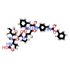 CC[C@H](C)[C@@H]([C@@H](CC(=O)N1CCC[C@H]1[C@H](OC)[C@@H](C)C(=O)N[C@@H](Cc1ccccc1)C(=O)Nc1ccc(CNC(=O)OCc2ccccc2)cc1)OC)N(C)C(=O)[C@@H](NC(=O)O)C(C)C